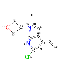 C=Cc1cc(Cl)nc2c1cc(C)n2C1COC1